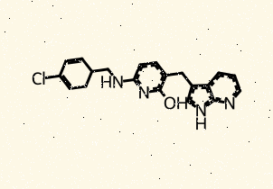 Oc1nc(NCC2C=CC(Cl)=CC2)ccc1Cc1c[nH]c2ncccc12